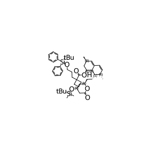 C[C@H]1C=C2C=C[C@H](C)[C@H](CC[C@@H]3C[C@@H](O[Si](C)(C)C(C)(C)C)CC(=O)O3)[C@H]2[C@@H](OC(=O)C2(CCCO[Si](c3ccccc3)(c3ccccc3)C(C)(C)C)CCC2)C1